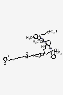 Cc1ccc2c(c1)C(C)(C)/C(=C\C=C1/CCCC(/C=C/C3=[N+](CCCCS(=O)(=O)O)c4ccccc4C3(C)C)=C1NCCCCCCCCCCC(=O)NCCCCCCCCC1C(=O)C=CC1=O)N2CCCCS(=O)(=O)O